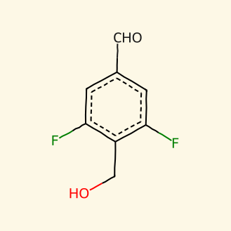 O=Cc1cc(F)c(CO)c(F)c1